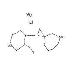 Cl.Cl.FC1CNCCC1C1CC12CCCNC2